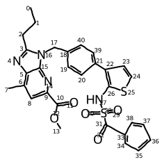 CCCc1nc2c(C)cc(C(=O)OC)nc2n1Cc1ccc(-c2ccsc2NS(=O)(=O)C(=O)c2ccccc2)cc1